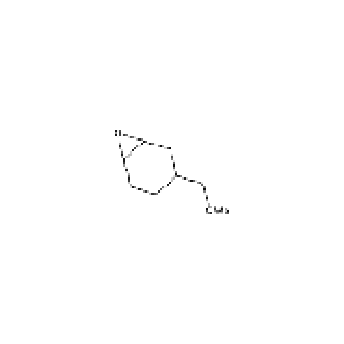 COCC1CCC2OC2C1